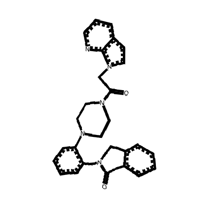 O=C(Cn1ccc2cccnc21)N1CCN(c2ccccc2N2Cc3ccccc3C2=O)CC1